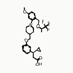 COc1ccc(COC(C)C(F)(F)F)c(N2CCC(COc3cccc(C(CC(=O)O)C4CC4)c3)CC2)c1